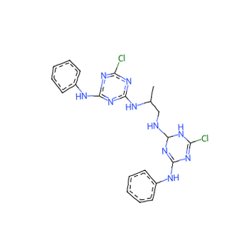 CC(CNC1N=C(Nc2ccccc2)N=C(Cl)N1)Nc1nc(Cl)nc(Nc2ccccc2)n1